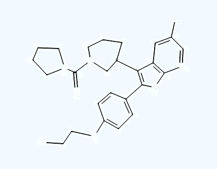 C[C](C)CCOc1ccc(-c2[nH]c3ncc(C)cc3c2C2CCCN(C(=O)N3CCCC3)C2)cc1